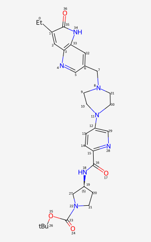 CCc1cc2ncc(CN3CCN(c4ccc(C(=O)N[C@H]5CCN(C(=O)OC(C)(C)C)C5)nc4)CC3)cc2[nH]c1=O